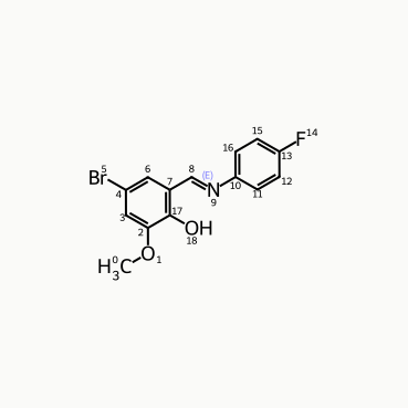 COc1cc(Br)cc(/C=N/c2ccc(F)cc2)c1O